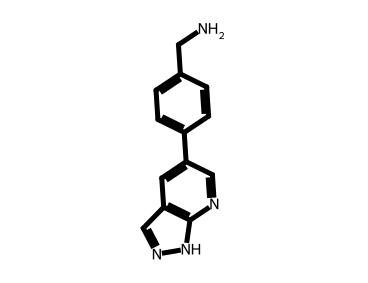 NCc1ccc(-c2cnc3[nH]ncc3c2)cc1